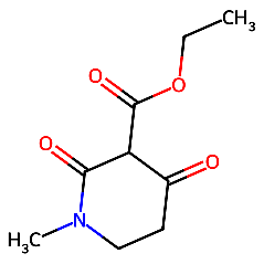 CCOC(=O)C1C(=O)CCN(C)C1=O